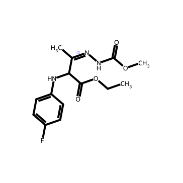 CCOC(=O)C(Nc1ccc(F)cc1)/C(C)=N\NC(=O)OC